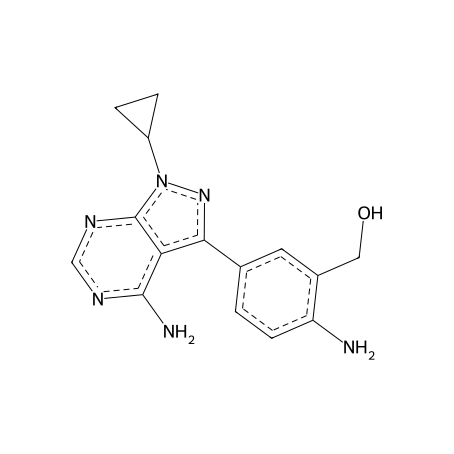 Nc1ccc(-c2nn(C3CC3)c3ncnc(N)c23)cc1CO